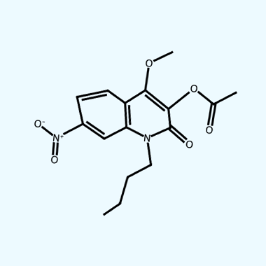 CCCCn1c(=O)c(OC(C)=O)c(OC)c2ccc([N+](=O)[O-])cc21